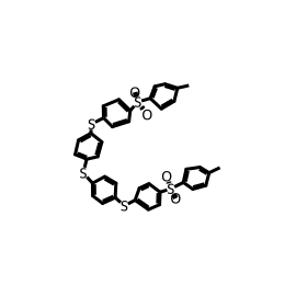 Cc1ccc(S(=O)(=O)c2ccc(Sc3ccc(Sc4ccc(Sc5ccc(S(=O)(=O)c6ccc(C)cc6)cc5)cc4)cc3)cc2)cc1